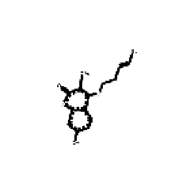 CCC=CCCOc1c(OC(C)=O)c(=O)oc2cc(O)ccc12